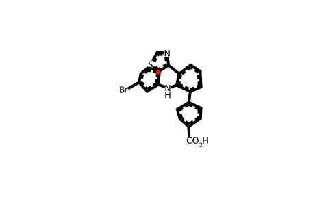 O=C(O)c1ccc(-c2cccc(-c3cscn3)c2Nc2cccc(Br)c2)cc1